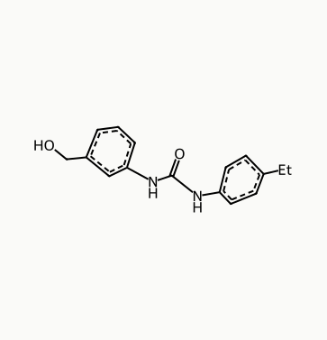 CCc1ccc(NC(=O)Nc2cccc(CO)c2)cc1